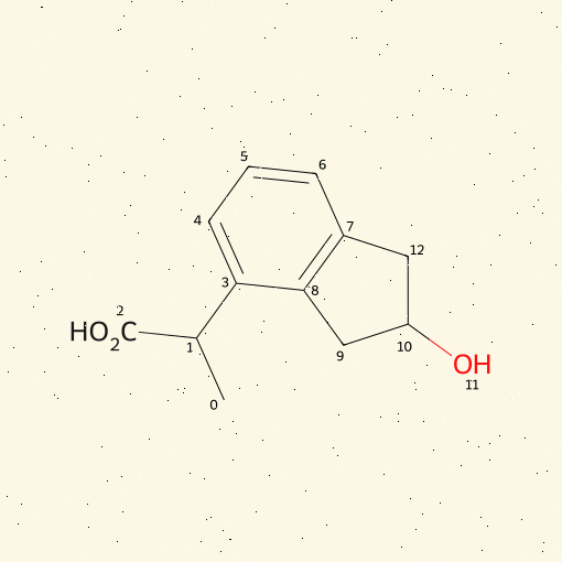 CC(C(=O)O)c1cccc2c1CC(O)C2